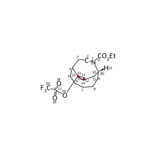 CCOC(=O)N1CCC2CCCCC[C@@H]1Cc1ccc(OS(=O)(=O)C(F)(F)F)cc12